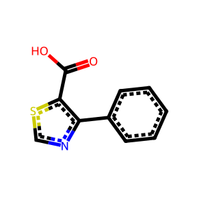 O=C(O)c1scnc1-c1ccccc1